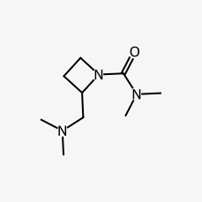 CN(C)CC1CCN1C(=O)N(C)C